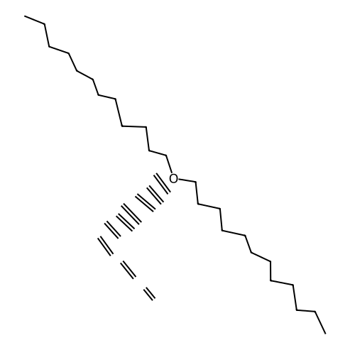 C=C.C=C.C=C.C=C.C=C.C=C.C=C.C=C.C=C.CCCCCCCCCCCCOCCCCCCCCCCCC